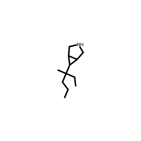 CCCC(C)(CC)C1C2CNCC21